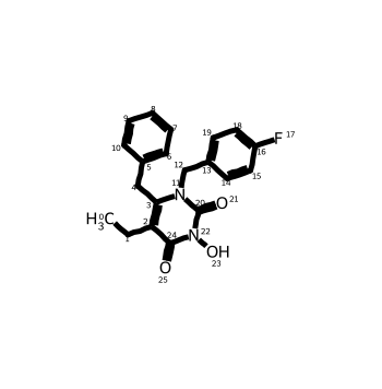 CCc1c(Cc2ccccc2)n(Cc2ccc(F)cc2)c(=O)n(O)c1=O